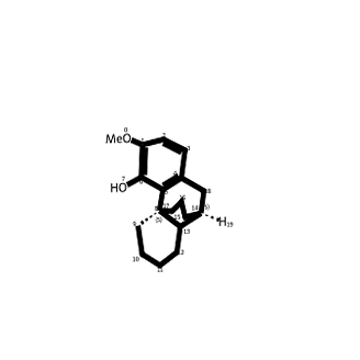 COc1ccc2c(c1O)[C@]13CCCCC1[C@@H](CCC3)C2